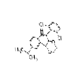 CC(C)c1ccc2c(c1)C1OCCOC1C(c1c(Cl)cccc1Cl)N2